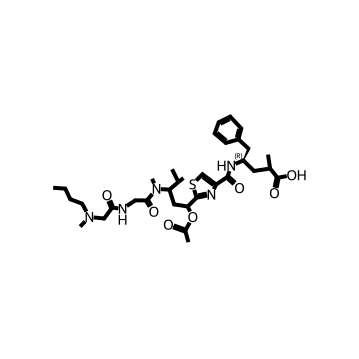 CCCCN(C)CC(=O)NCC(=O)N(C)C(CC(OC(C)=O)c1nc(C(=O)N[C@@H](Cc2ccccc2)CC(C)C(=O)O)cs1)C(C)C